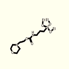 CCO[Si](CCCNC(=O)OCCN1CCOCC1)(OCC)OCC